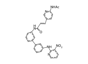 CC(=O)Nc1ccc(C=CC(=O)Nc2cccc(-c3cccc(Nc4ncccc4[N+](=O)[O-])c3)c2)cn1